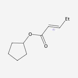 CC/C=C/C(=O)OC1CCCC1